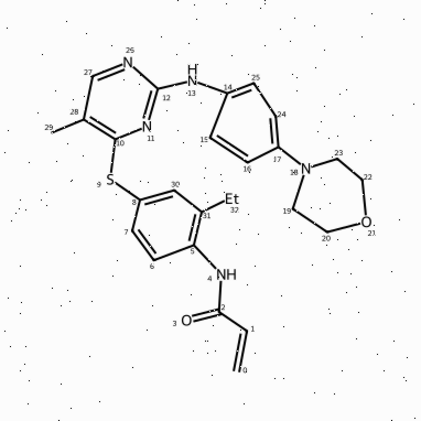 C=CC(=O)Nc1ccc(Sc2nc(Nc3ccc(N4CCOCC4)cc3)ncc2C)cc1CC